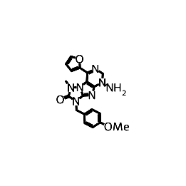 COc1ccc(Cn2c(=O)n(C)n3c4c(nc23)N(N)CN=C4c2ccco2)cc1